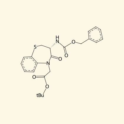 CC(C)(C)OC(=O)CN1C(=O)[C@@H](NC(=O)OCc2ccccc2)CSc2ccccc21